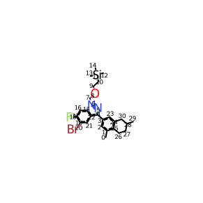 Cc1cc(-c2nn(COCC[Si](C)(C)C)c3cc(F)c(Br)cc23)cc2c1CCC(C)C2